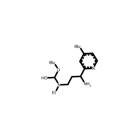 CCN(CCC(N)c1cc(C(C)(C)C)ccn1)C(O)OC(C)(C)C